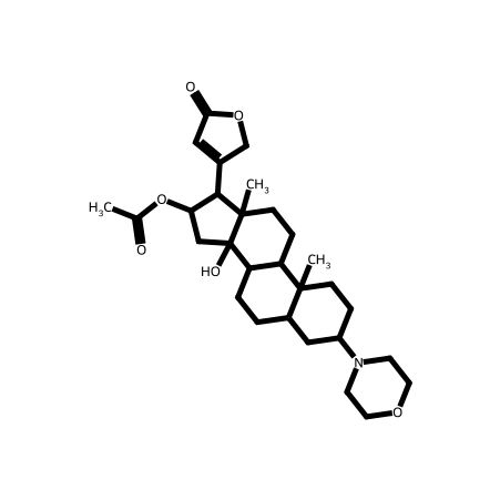 CC(=O)OC1CC2(O)C3CCC4CC(N5CCOCC5)CCC4(C)C3CCC2(C)C1C1=CC(=O)OC1